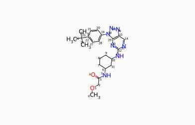 COCC(=O)NC1CCCC(Nc2ncc3nnn(-c4ccc(C(C)(C)C)cc4)c3n2)C1